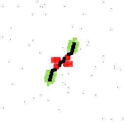 OC(COCCC(F)(F)C(F)(F)C(F)(F)F)C(O)COCCC(F)(F)C(F)(F)C(F)(F)F